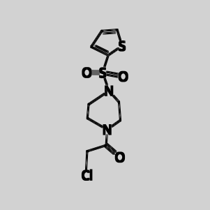 O=C(CCl)N1CCN(S(=O)(=O)c2cccs2)CC1